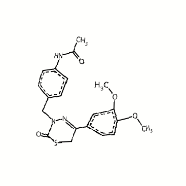 COc1ccc(C2=NN(Cc3ccc(NC(C)=O)cc3)C(=O)SC2)cc1OC